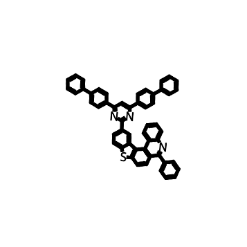 c1ccc(-c2ccc(-c3cc(-c4ccc(-c5ccccc5)cc4)nc(-c4ccc5sc6ccc7c(-c8ccccc8)nc8ccccc8c7c6c5c4)n3)cc2)cc1